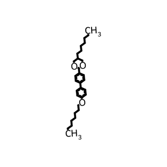 CCCCCCCCOc1ccc(-c2ccc(C3OCC(CCCCCCC)CO3)cc2)cc1